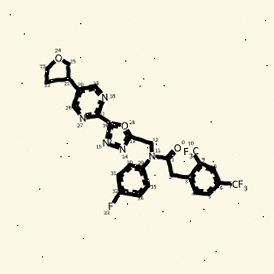 O=C(Cc1ccc(C(F)(F)F)cc1C(F)(F)F)N(Cc1nnc(-c2ncc(C3CCOC3)cn2)o1)c1ccc(F)cc1